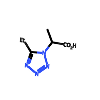 CCc1nnnn1C(C)C(=O)O